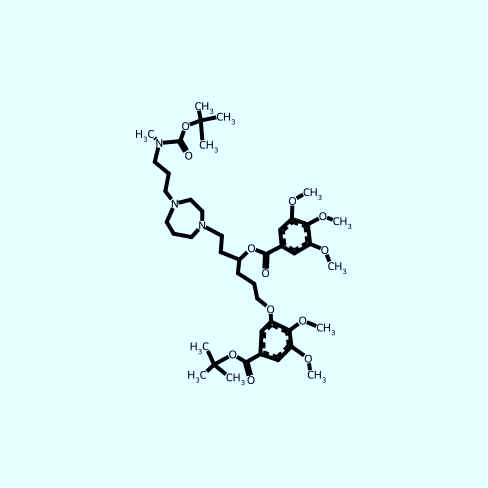 COc1cc(C(=O)OC(CCCOc2cc(C(=O)OC(C)(C)C)cc(OC)c2OC)CCN2CCCN(CCCN(C)C(=O)OC(C)(C)C)CC2)cc(OC)c1OC